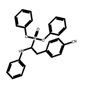 N#Cc1ccc(CC(Nc2ccccc2)P(=O)(Oc2ccccc2)Oc2ccccc2)cc1